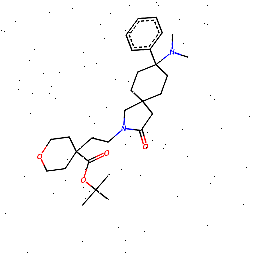 CN(C)C1(c2ccccc2)CCC2(CC1)CC(=O)N(CCC1(C(=O)OC(C)(C)C)CCOCC1)C2